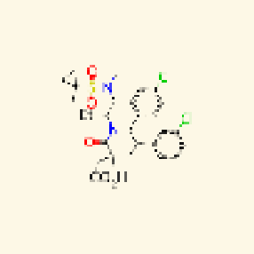 CCC(CN(C)S(=O)(=O)C1(C)CC1)N1C(=O)C(C)(CC(=O)O)CC(c2cccc(Cl)c2)C1c1ccc(Cl)cc1